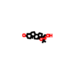 CC(C)(C)OC1(C(=O)CO)CCC2C3CCC4=CC(=O)CCC4(C)C3CCC21C